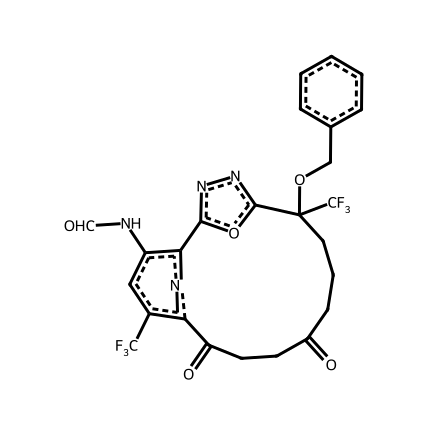 O=CNc1cc(C(F)(F)F)c2nc1-c1nnc(o1)C(OCc1ccccc1)(C(F)(F)F)CCCC(=O)CCC2=O